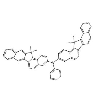 CC1(C)c2cc3ccccc3cc2-c2ccc3cc(N(c4ccccc4)c4ccc5c6c(ccc5c4)-c4ccc5ccccc5c4C6(C)C)ccc3c21